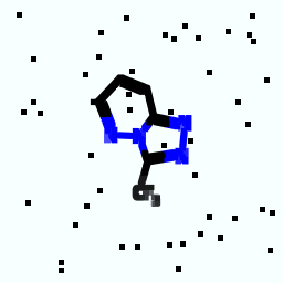 FC(F)(F)c1nnc2cc[c]nn12